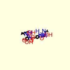 COc1cc(C(=O)N2CC3(CC3)CC2CO)c(NC(=O)OCc2ccc(NC(=O)C(C)NC(O)[C@@H](N)C(C)C)cc2)cc1O